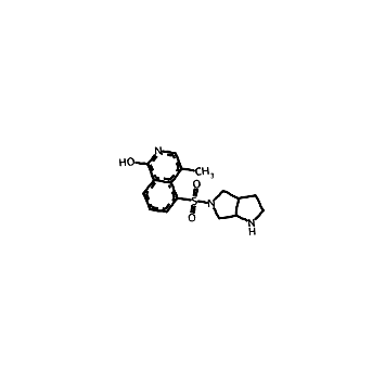 Cc1cnc(O)c2cccc(S(=O)(=O)N3CC4CCNC4C3)c12